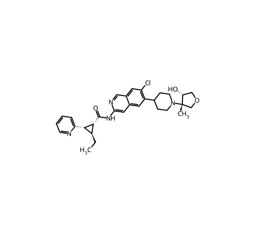 CC[C@@H]1[C@@H](C(=O)Nc2cc3cc(C4CCN([C@@]5(C)COC[C@H]5O)CC4)c(Cl)cc3cn2)[C@H]1c1ccccn1